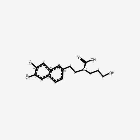 O=C(O)N(CCCO)CCc1ccc2cc(Cl)c(Cl)cc2c1